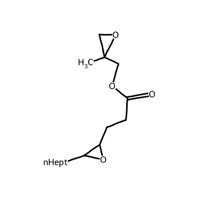 CCCCCCCC1OC1CCC(=O)OCC1(C)CO1